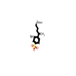 CCCCCCCCCCCCC(C)c1ccc(S(=O)(=O)[O-])cc1.[Na+]